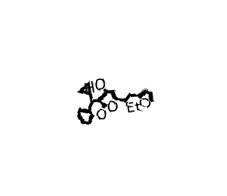 CCC(Cc1ccco1)c1cc(O)c(C(c2ccccc2)C2CC2)c(=O)o1